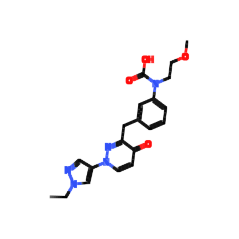 CCn1cc(-n2ccc(=O)c(Cc3cccc(N(CCOC)C(=O)O)c3)n2)cn1